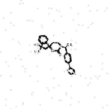 C[C@@H](c1ccc(-c2cscn2)cc1)N1CCC(CC(C)(C)O)(c2ccccc2)OC1=O